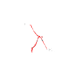 CCCCCCCCCC=CC=CC=CC=CC=CC=CC(=O)Oc1ccc(C(=CC=CC=CC=CC=CC=CCCCCCCCCC)C(=O)OCC)cc1OC(=O)C=CC=CC=CC=CC=CC=CCCCCCCCCC